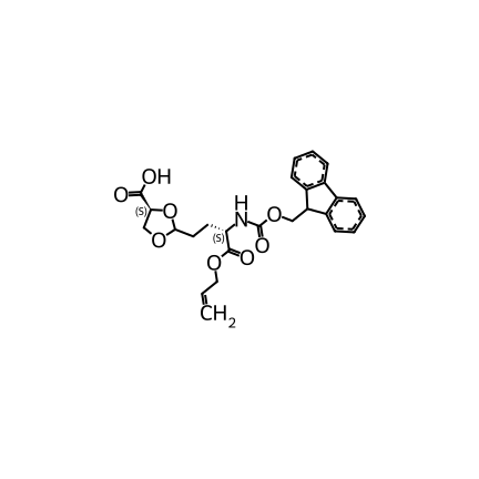 C=CCOC(=O)[C@H](CCC1OC[C@@H](C(=O)O)O1)NC(=O)OCC1c2ccccc2-c2ccccc21